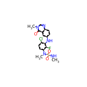 CNS(=O)(=O)N(C)c1ccc(Cl)c(Nc2ccc3ncn(C)c(=O)c3c2)c1F